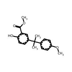 COC(=O)c1cc(C(C)(C)c2ccc(OC)cc2)ccc1O